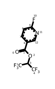 O=C(OC(C(F)(F)F)C(F)(F)F)c1ccc(F)nc1